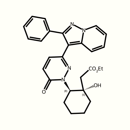 CCOC(=O)C[C@@]1(O)CCCC[C@H]1n1nc(-c2c(-c3ccccc3)nn3ccccc23)ccc1=O